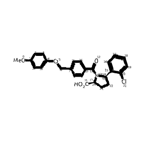 COc1ccc(OCc2ccc(C(=O)N3[C@@H](c4ccccc4Cl)CC[C@H]3C(=O)O)cc2)cc1